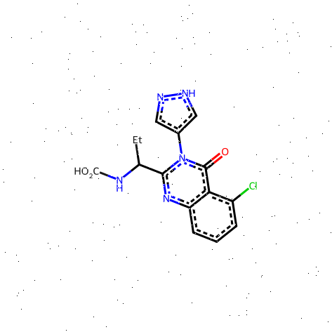 CCC(NC(=O)O)c1nc2cccc(Cl)c2c(=O)n1-c1cn[nH]c1